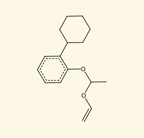 C=COC(C)Oc1ccccc1C1CCCCC1